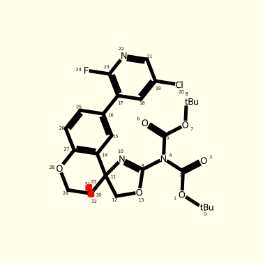 CC(C)(C)OC(=O)N(C(=O)OC(C)(C)C)C1=NC2(CO1)c1cc(-c3cc(Cl)cnc3F)ccc1OCC21COC1